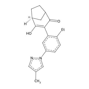 CCc1ccc(-n2cc(C)cn2)cc1C1=C(O)[C@H]2CCC(C2)C1=O